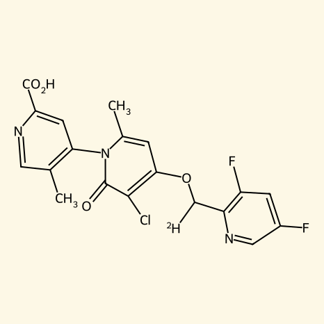 [2H]C(Oc1cc(C)n(-c2cc(C(=O)O)ncc2C)c(=O)c1Cl)c1ncc(F)cc1F